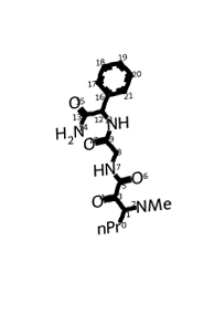 CCCC(NC)C(=O)C(=O)NCC(=O)NC(C(N)=O)c1ccccc1